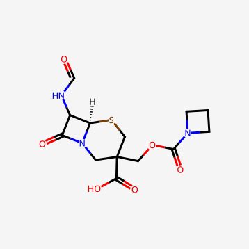 O=CNC1C(=O)N2CC(COC(=O)N3CCC3)(C(=O)O)CS[C@H]12